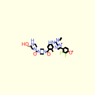 C=C/N=C(/Nc1ccc(C(=O)N2CCN(C(=O)N3CCN[C@@H](CO)C3)CC2)c(C)c1)c1ncc(-c2ccc(OC)c(F)c2F)n1C